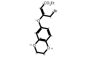 CCOC(=O)C=C(CBr)Oc1ccc2c(c1)OCCO2